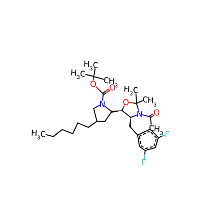 CCCCCCC1CC([C@H]2OC(C)(C)N(C(C)=O)[C@H]2Cc2cc(F)cc(F)c2)N(C(=O)OC(C)(C)C)C1